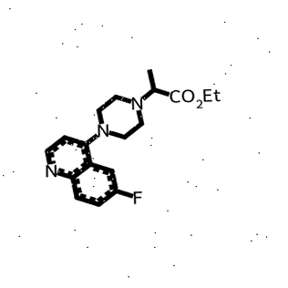 CCOC(=O)C(C)N1CCN(c2ccnc3ccc(F)cc23)CC1